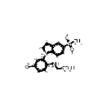 CS(=O)(=O)c1ccc2c(ccn2-c2cc(Cl)ccc2NCC(=O)O)c1